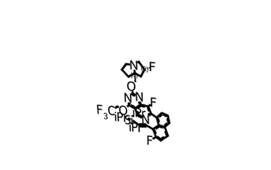 CC(C)[Si](C#Cc1c(F)ccc2cccc(-c3ncc4c(OCC(F)(F)F)nc(OC[C@@]56CCCN5C[C@H](F)C6)nc4c3F)c12)(C(C)C)C(C)C